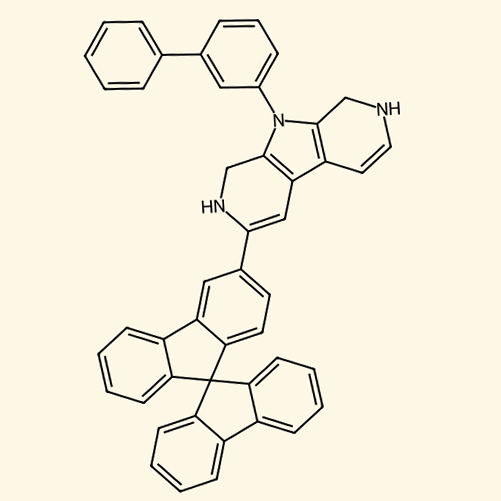 C1=Cc2c3c(n(-c4cccc(-c5ccccc5)c4)c2CN1)CNC(c1ccc2c(c1)-c1ccccc1C21c2ccccc2-c2ccccc21)=C3